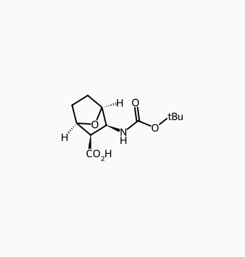 CC(C)(C)OC(=O)N[C@H]1[C@@H](C(=O)O)[C@H]2CC[C@@H]1O2